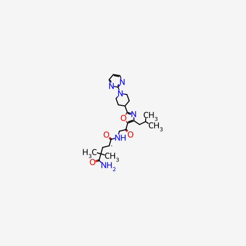 CC(C)Cc1nc(C2CCN(c3ncccn3)CC2)oc1C(=O)CNC(=O)[CH]CC(C)(C)C(N)=O